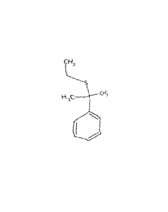 CCSC(C)(C)c1ccccc1